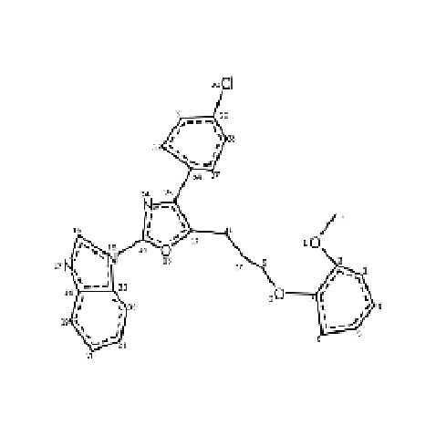 COc1ccccc1OCCCc1oc(-n2cnc3ccccc32)nc1-c1ccc(Cl)cc1